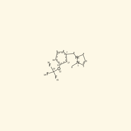 CN1C=CCN1Cc1cccc(OC(F)(F)F)c1